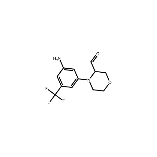 Nc1cc(N2CCOCC2C=O)cc(C(F)(F)F)c1